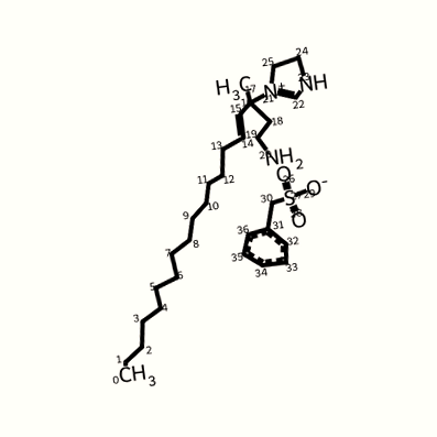 CCCCCCCCCCCCCCC=CC(C)(CCN)[N+]1=CNCC1.O=S(=O)([O-])Cc1ccccc1